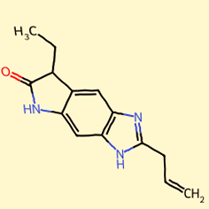 C=CCc1nc2cc3c(cc2[nH]1)NC(=O)C3CC